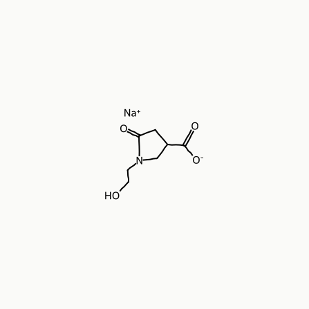 O=C([O-])C1CC(=O)N(CCO)C1.[Na+]